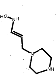 ONC=CCN1CCNCC1